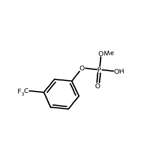 COP(=O)(O)Oc1cccc(C(F)(F)F)c1